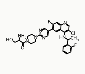 CC(Nc1c(Cl)cnc2cc(F)c(-c3cnc(N4CCN(C(=O)C(N)CO)CC4)nc3)cc12)c1ccccc1F